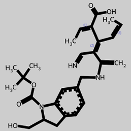 C=C(NCc1ccc2c(c1)N(C(=O)OC(C)(C)C)C(CO)C2)/C(C=N)=C(\C=C/C)C(=C\C)/C(=O)O